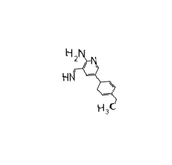 CCC1=CCC(c2cnc(N)c(C=N)c2)C=C1